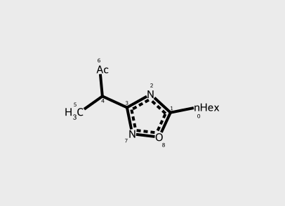 CCCCCCc1nc(C(C)C(C)=O)no1